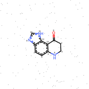 O=C1CCNc2ccc3nc[nH]c3c21